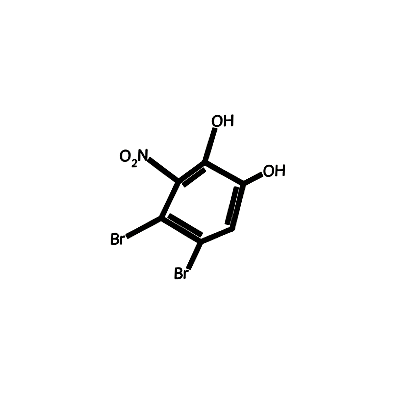 O=[N+]([O-])c1c(O)c(O)cc(Br)c1Br